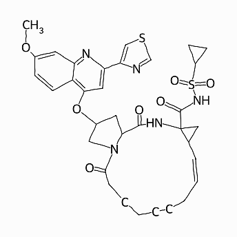 COc1ccc2c(OC3CC4C(=O)NC5(C(=O)NS(=O)(=O)C6CC6)CC5C=CCCCCCCC(=O)N4C3)cc(-c3cscn3)nc2c1